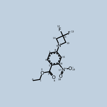 CCOC(=O)c1ccc(N2CC(F)(F)C2)cc1[N+](=O)[O-]